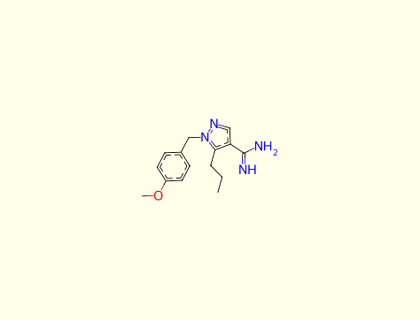 CCCc1c(C(=N)N)cnn1Cc1ccc(OC)cc1